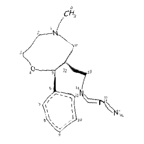 CN1CCO[C@H](c2ccccc2)[C@H](CN=[N+]=[N-])C1